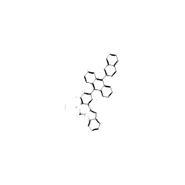 Cn1c(=O)n2c3ccccc3cc2c2cc(-c3c4ccccc4c(-c4ccc5ccccc5c4)c4ccccc34)ccc21